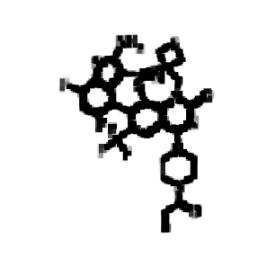 C=CC(=O)N1CCN(c2nc(=O)n3c4c(c(-c5c(F)cc(F)c6sc(N)c(C#N)c56)c(C(F)(F)F)cc24)SCC2(CSC2)C3)CC1